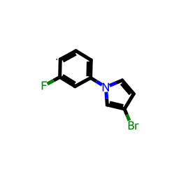 Fc1[c]ccc(-n2ccc(Br)c2)c1